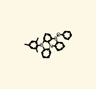 Cc1cc(C)c(B2c3ccccc3N3c4ccccc4B(Oc4ccccc4)c4cccc2c43)c(C)c1